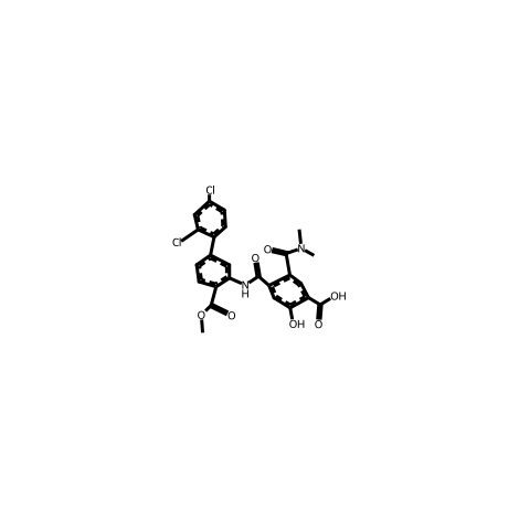 COC(=O)c1ccc(-c2ccc(Cl)cc2Cl)cc1NC(=O)c1cc(O)c(C(=O)O)cc1C(=O)N(C)C